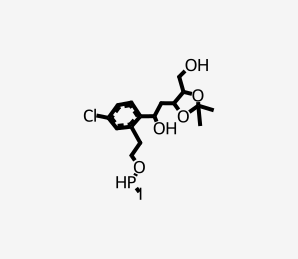 CC1(C)OC(CO)C(CC(O)c2ccc(Cl)cc2CCOPI)O1